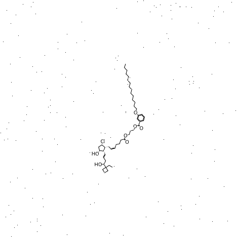 CCCCCCCCCCCCCCCOc1cccc(C(=O)OCCCOC(=O)CCC/C=C\C[C@@H]2[C@H](/C=C/C[C@H](O)C3(CC)CCC3)[C@H](O)C[C@@H]2Cl)c1